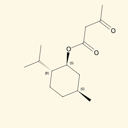 CC(=O)CC(=O)O[C@H]1C[C@@H](C)CC[C@@H]1C(C)C